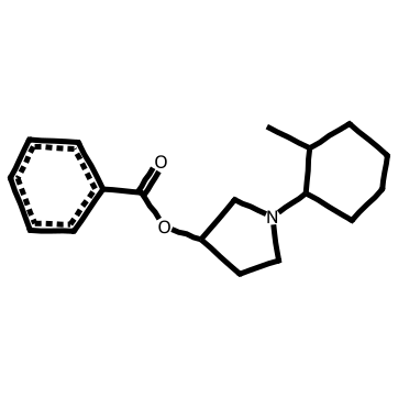 CC1CCCCC1N1CCC(OC(=O)c2ccccc2)C1